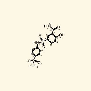 CS(=O)(=O)c1ccc(NS(=O)(=O)c2ccc(O)c(C(N)=O)c2)cc1